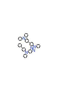 c1ccc(-c2ccc(N(c3ccccc3)c3ccc4nc5n(-c6ccccc6)c6ccc(-c7ccc8c(c7)c7ccccc7n8-c7ccccc7)cc6n5c4c3)cc2)cc1